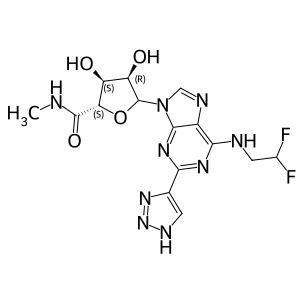 CNC(=O)[C@H]1OC(n2cnc3c(NCC(F)F)nc(-c4c[nH]nn4)nc32)[C@H](O)[C@@H]1O